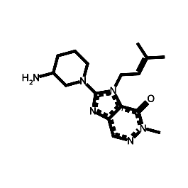 CC(C)=CCn1c(N2CCCC(N)C2)nc2cnn(C)c(=O)c21